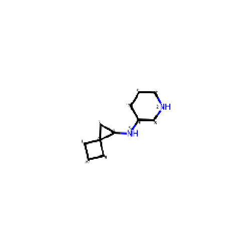 C1CNCC(NC2CC23CCC3)C1